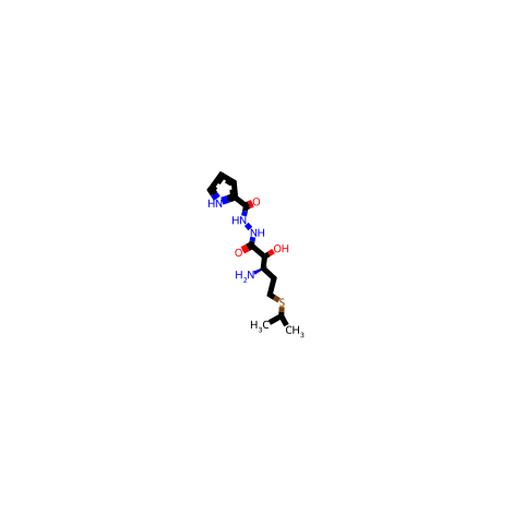 CC(C)SCC[C@@H](N)C(O)C(=O)NNC(=O)c1ccc[nH]1